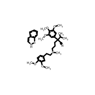 C1=Cc2ccccc2SN1.COc1ccc(CCN(C)CCCC(C#N)(c2cc(OC)c(OC)c(OC)c2)C(C)C)cc1OC